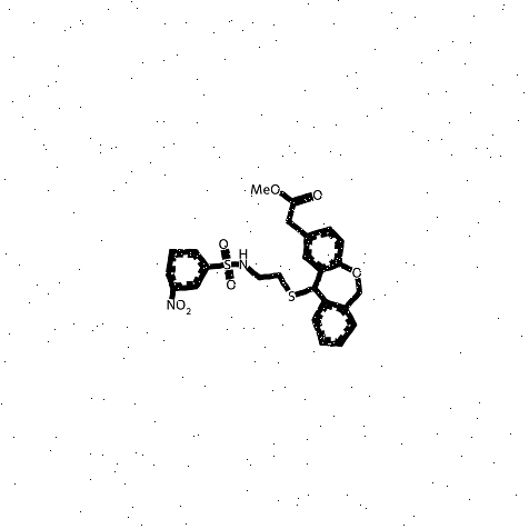 COC(=O)Cc1ccc2c(c1)C(SCCNS(=O)(=O)c1cccc([N+](=O)[O-])c1)c1ccccc1CO2